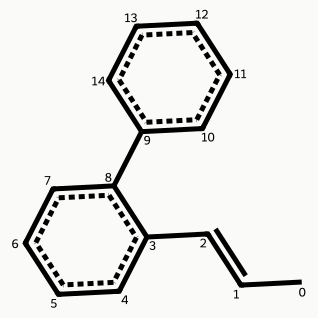 CC=Cc1ccccc1-c1ccccc1